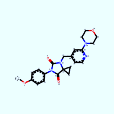 O=C1N(c2ccc(OC(F)(F)F)cc2)C(=O)C2(CC2)N1Cc1ccnc(N2CCOCC2)c1